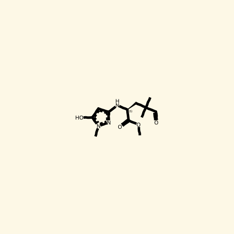 COC(=O)[C@H](CC(C)(C)C=O)Nc1cc(O)n(C)n1